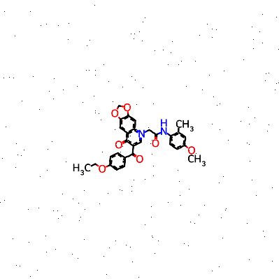 CCOc1ccc(C(=O)c2cn(CC(=O)Nc3ccc(OC)cc3C)c3cc4c(cc3c2=O)OCO4)cc1